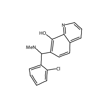 CNC(c1ccccc1Cl)c1ccc2cccnc2c1O